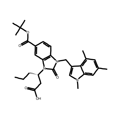 CCC[C@@H](CC(=O)O)n1c(=O)n(Cc2cn(C)c3cc(C)cc(C)c23)c2ccc(C(=O)OC(C)(C)C)cc21